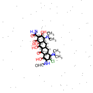 CN(C)c1c(Cl)c(NC=O)c(O)c2c1CC1CC3[C@H](N(C)C)C(O)=C(C(N)=O)C(=O)[C@@]3(O)C(O)=C1C2=O